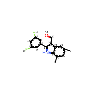 Cc1cc(C)c2[nH]c(-c3cc(F)cc(F)c3)c(C=O)c2c1